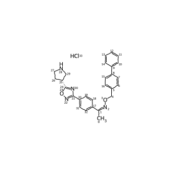 CC(=NOCc1ccc(-c2ccccc2)cc1)c1ccc(-c2noc([C@@H]3CCNC3)n2)cc1.Cl